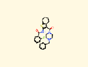 O=C(Nc1sc2c(c1C(=O)N1CCN(Cc3ccccc3)CC1)CCCC2)c1ccccc1F